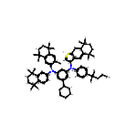 Cc1cc2c(cc1N(c1cc(C3CCCCC3)cc(N(c3ccc(C(C)(C)CCC(C)C)cc3)c3csc4c3C=C3C(C4)C(C)(C)CCC3(C)C)c1)c1ccc3c(c1)C(C)(C)CCC3(C)C)C(C)(C)CCC2(C)C